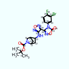 CC(C)(C)OC(=O)N1CC2CC1CC2Nc1nonc1-c1noc(=O)n1-c1ccc(F)c(Br)c1